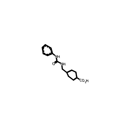 O=C(NCC1CCC(C(=O)O)CC1)Nc1ccccc1